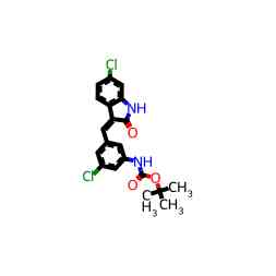 CC(C)(C)OC(=O)Nc1cc(Cl)cc(C=C2C(=O)Nc3cc(Cl)ccc32)c1